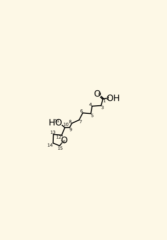 O=C(O)CCCCCCCC(O)C1CCCO1